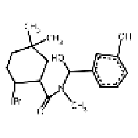 CC(C)C1CCC(C)(C)CC1C(=O)N(C)C(O)c1cccc(O)c1